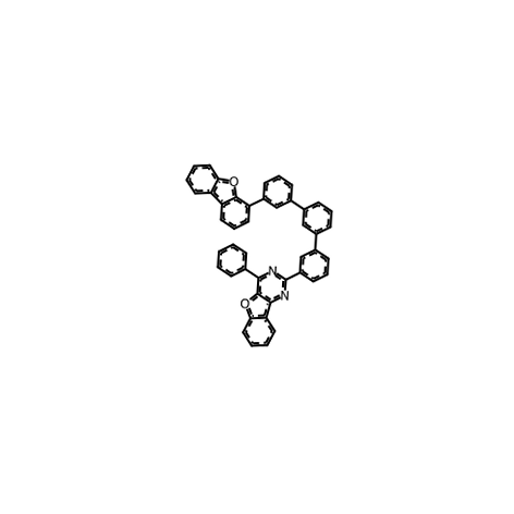 c1ccc(-c2nc(-c3cccc(-c4cccc(-c5cccc(-c6cccc7c6oc6ccccc67)c5)c4)c3)nc3c2oc2ccccc23)cc1